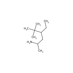 CCC(CC(C)N)C(C)(C)C